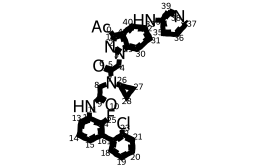 CC(=O)c1nn(CC(=O)N(CC(=O)Nc2cccc(-c3ccccc3Cl)c2F)C2CC2)c2ccc(Nc3cccnc3)cc12